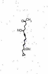 CC(=O)CCC[C@H](O)C#C/C=C/C=C/[C@H](O)CC1CC1